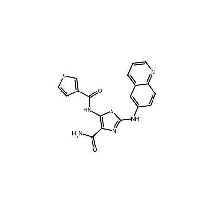 NC(=O)c1nc(Nc2ccc3ncccc3c2)sc1NC(=O)c1ccsc1